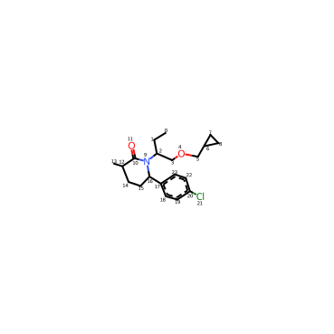 CCC(COCC1CC1)N1C(=O)C(C)CCC1c1ccc(Cl)cc1